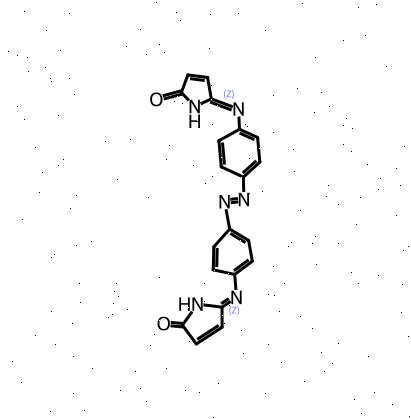 O=C1C=C/C(=N/c2ccc(N=Nc3ccc(/N=C4/C=CC(=O)N4)cc3)cc2)N1